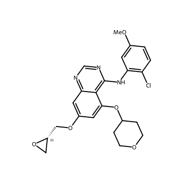 COc1ccc(Cl)c(Nc2ncnc3cc(OC[C@@H]4CO4)cc(OC4CCOCC4)c23)c1